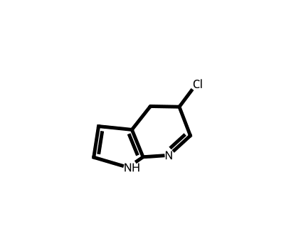 ClC1C=Nc2[nH]ccc2C1